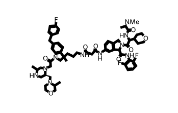 CN[C@@H](C)C(=O)NC(C(=O)N1Cc2ccc(NC(=O)CC(=O)NCCCC3(C)CN(C(=O)CN4CC(C)NC[C@@H]4CN4CCOCC4C)c4cc(Cc5ccc(F)cc5)ccc43)cc2C1C(=O)Nc1c(F)cccc1F)C1CCOCC1